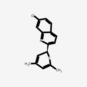 CC1=C[C@@H](c2ccc3ccc(Cl)cc3n2)CC(C)=C1